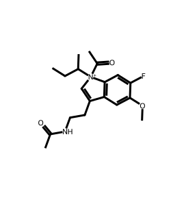 CCC(C)[N+]1(C(C)=O)C=C(CCNC(C)=O)c2cc(OC)c(F)cc21